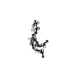 CC(C)C1CC(=O)N(CCC(=O)NCC(C)(C)OCC(C)(C)CC(=O)N[C@@H](CCC(=O)NCC(C)(C)COCC(C)(C)CNC(=O)C(C)(C)CCC(C)(C)C)C(=O)NCC(C)(C)COCC(C)(C)CNC(=O)C(C)(C)CCC(C)(C)C)C1=O